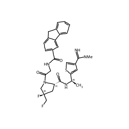 CNC(=N)c1csc([C@@H](C)NC(=O)[C@@H]2C[C@](F)(CF)CN2C(=O)CNC(=O)c2ccc3c(c2)-c2ccccc2C3)c1